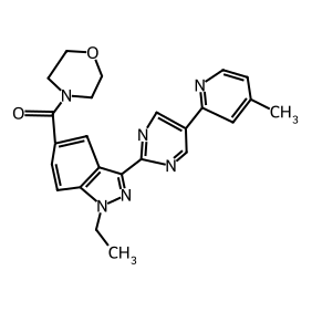 CCn1nc(-c2ncc(-c3cc(C)ccn3)cn2)c2cc(C(=O)N3CCOCC3)ccc21